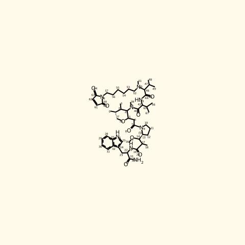 CCC(C)C(C(CC(=O)N1CCC[C@H]1C(OC)C(C)C(=O)NC(Cc1c[nH]c2ccccc12)C(N)=O)OC)N(C)C(=O)C(NC(=O)C(C(C)C)N(C)CCCCCCN1C(=O)C=CC1=O)C(C)C